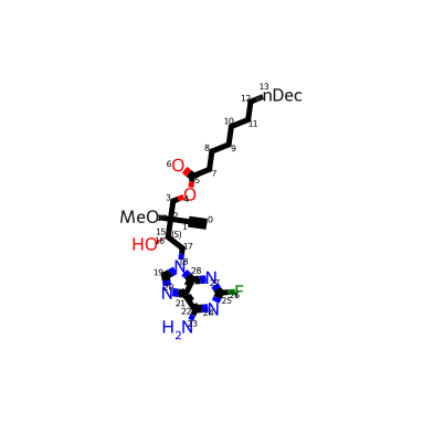 C#CC(COC(=O)CCCCCCCCCCCCCCCC)(OC)[C@@H](O)Cn1cnc2c(N)nc(F)nc21